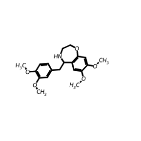 COc1ccc(CC2NCCOc3cc(OC)c(OC)cc32)cc1OC